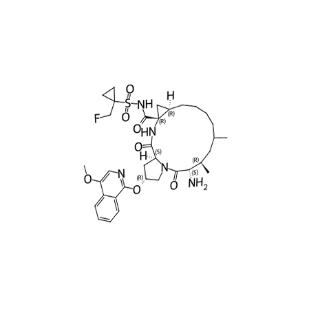 COc1cnc(O[C@@H]2C[C@H]3C(=O)N[C@]4(C(=O)NS(=O)(=O)C5(CF)CC5)C[C@H]4CCCCC(C)C[C@@H](C)[C@H](N)C(=O)N3C2)c2ccccc12